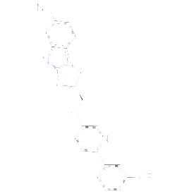 N#Cc1ccc2c(c1)nc1n2C[C@@H](COc2ccc(-c3cccc(C(F)(F)F)c3)nc2)O1